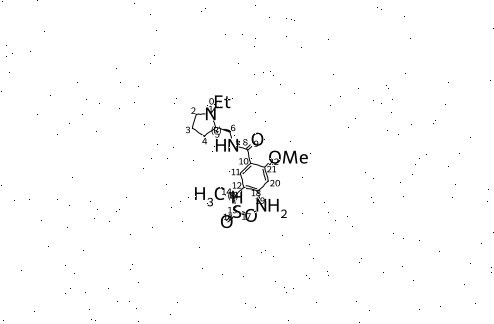 CCN1CCC[C@@H]1CNC(=O)c1cc([C@@H](C)[SH](=O)=O)c(N)cc1OC